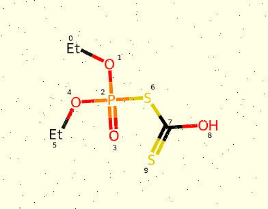 CCOP(=O)(OCC)SC(O)=S